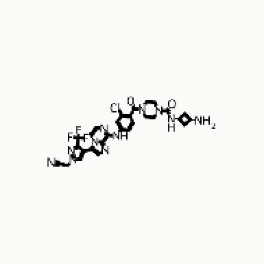 N#CCn1cc(-c2cnc3c(Nc4ccc(C(=O)N5CCN(C(=O)N[C@H]6C[C@@H](N)C6)CC5)c(Cl)c4)nccn23)c(C(F)(F)F)n1